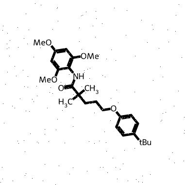 COc1cc(OC)c(NC(=O)C(C)(C)CCCOc2ccc(C(C)(C)C)cc2)c(OC)c1